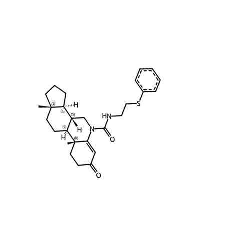 C[C@@]12CCC[C@H]1[C@@H]1CN(C(=O)NCCSc3ccccc3)C3=CC(=O)CC[C@]3(C)[C@H]1CC2